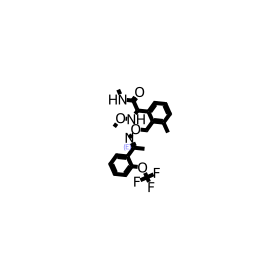 CNC(=O)C(NOC)c1cccc(C)c1CO/N=C(\C)c1ccccc1OC(F)(F)F